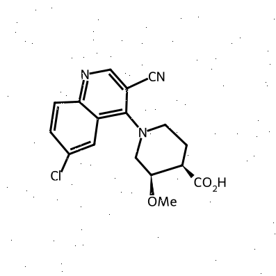 CO[C@H]1CN(c2c(C#N)cnc3ccc(Cl)cc23)CC[C@H]1C(=O)O